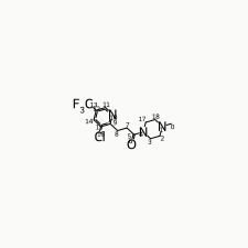 CN1CCN(C(=O)CCc2ncc(C(F)(F)F)cc2Cl)CC1